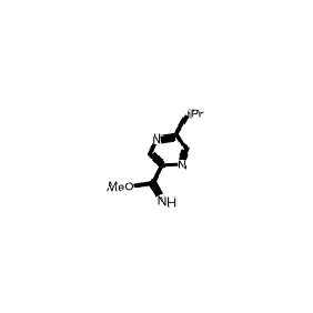 COC(=N)c1cnc(C(C)C)cn1